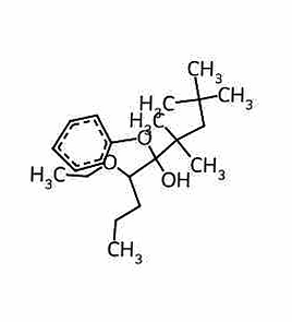 CCCC(OCC)C(O)(Oc1ccccc1)C(C)(C)CC(C)(C)C